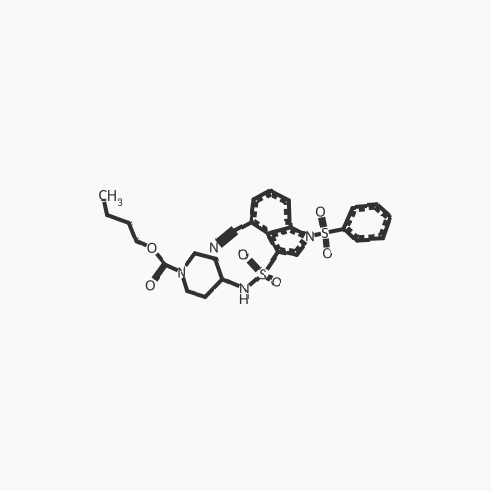 CCCCOC(=O)N1CCC(NS(=O)(=O)c2cn(S(=O)(=O)c3ccccc3)c3cccc(C#N)c23)CC1